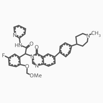 COCOc1ccc(F)cc1C(C(=O)Nc1ccccn1)n1cnc2ccc(-c3ccc(C4CCN(C)CC4)cc3)cc2c1=O